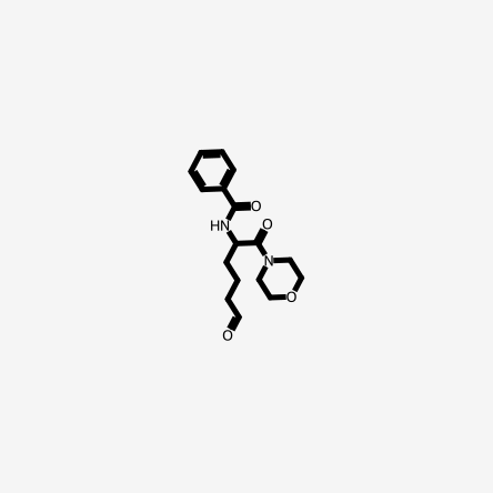 O=CCCCC(NC(=O)c1ccccc1)C(=O)N1CCOCC1